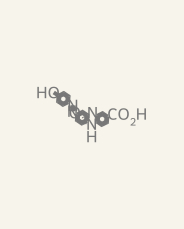 O=C(O)c1ccc(Nc2ccc(N=Nc3ccc(O)cc3)cc2)c([N+](=O)[O-])c1